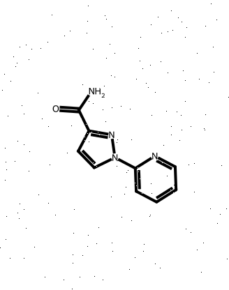 NC(=O)c1ccn(-c2ccccn2)n1